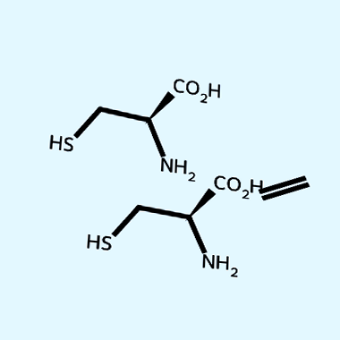 C=C.N[C@@H](CS)C(=O)O.N[C@@H](CS)C(=O)O